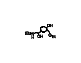 CCOCc1cc(C(O)CNC(C)(C)C)ccc1O